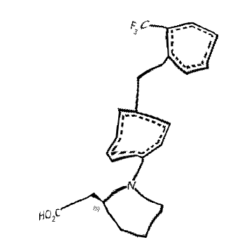 O=C(O)C[C@@H]1CCCN1c1ccc(Cc2ccccc2C(F)(F)F)cc1